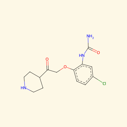 NC(=O)Nc1cc(Cl)ccc1OCC(=O)C1CCNCC1